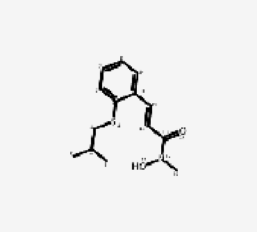 CC(C)CSc1ccccc1C=CC(=O)N(C)O